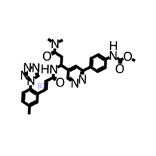 COC(=O)Nc1ccc(-c2cc(C(CC(=O)N(C)C)NC(=O)/C=C/c3cc(C)ccc3-n3cnnn3)cnn2)cc1